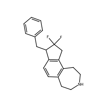 FC1(F)Cc2c(ccc3c2CCNCC3)C1Cc1ccccc1